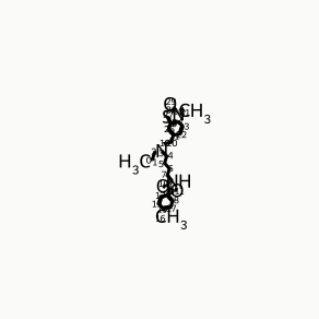 CCCN(CCCCNS(=O)(=O)c1ccc(C)cc1)CCc1ccc2c(c1)sc(=O)n2C